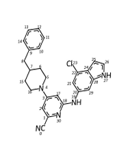 N#Cc1cc(N2CCC(Cc3ccccc3)CC2)cc(Nc2cc(Cl)c3cc[nH]c3c2)n1